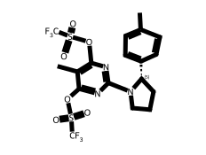 Cc1ccc([C@@H]2CCCN2c2nc(OS(=O)(=O)C(F)(F)F)c(C)c(OS(=O)(=O)C(F)(F)F)n2)cc1